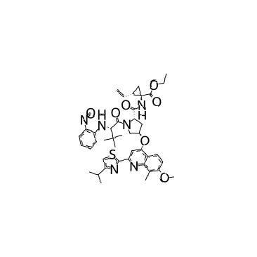 C=C[C@@H]1C[C@]1(NC(=O)[C@@H]1C[C@@H](Oc2cc(-c3nc(C(C)C)cs3)nc3c(C)c(OC)ccc23)CN1C(=O)[C@@H](Nc1ccccc1N=O)C(C)(C)C)C(=O)OCC